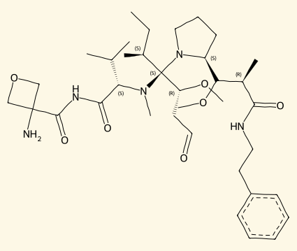 CC[C@H](C)[C@]([C@@H](CC=O)OC)(N(C)[C@H](C(=O)NC(=O)C1(N)COC1)C(C)C)N1CCC[C@H]1C(OC)[C@@H](C)C(=O)NCCc1ccccc1